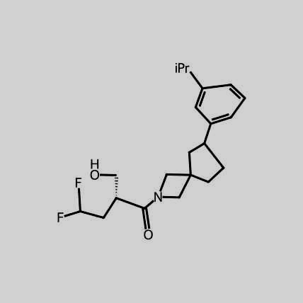 CC(C)c1cccc(C2CCC3(C2)CN(C(=O)[C@@H](CO)CC(F)F)C3)c1